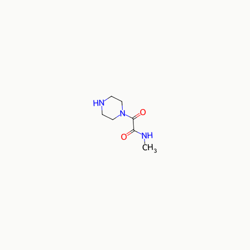 CNC(=O)C(=O)N1CCNCC1